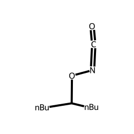 CCCCC(CCCC)ON=C=O